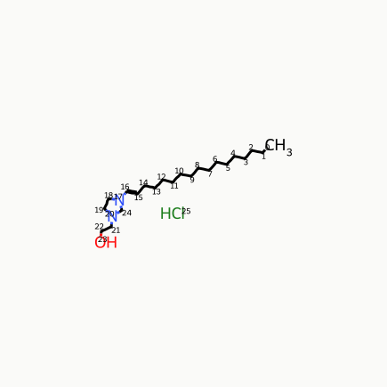 CCCCCCCCCCCCCCCC=CN1CCN(CCO)C1.Cl